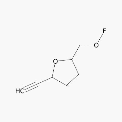 C#CC1CCC(COF)O1